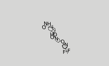 CC(F)(F)c1ccc(OC2CCN(C(=O)O[C@H]3C4CC5CC3C[C@](C(N)=O)(C5)C4)C2)nc1